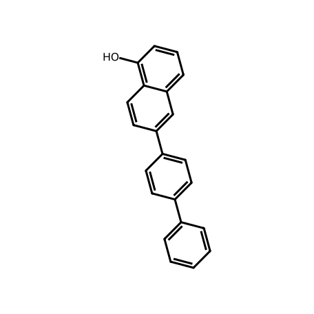 Oc1cccc2cc(-c3ccc(-c4ccccc4)cc3)ccc12